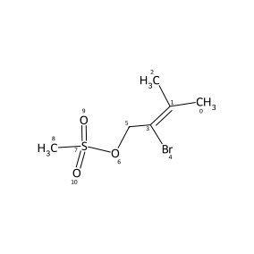 CC(C)=C(Br)COS(C)(=O)=O